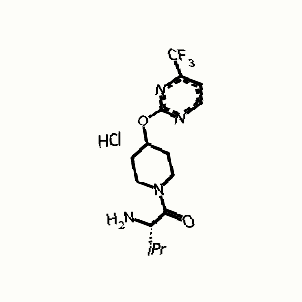 CC(C)[C@H](N)C(=O)N1CCC(Oc2nccc(C(F)(F)F)n2)CC1.Cl